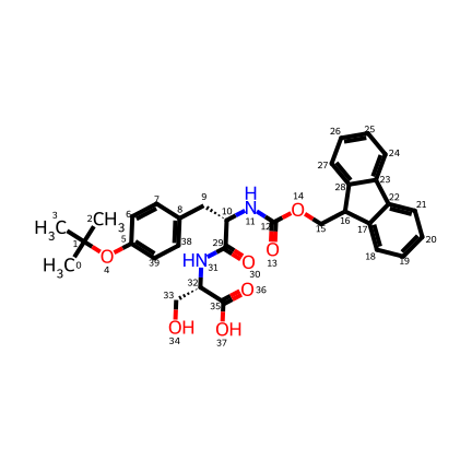 CC(C)(C)Oc1ccc(C[C@H](NC(=O)OCC2c3ccccc3-c3ccccc32)C(=O)N[C@@H](CO)C(=O)O)cc1